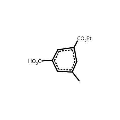 CCOC(=O)c1cc(I)cc(C(=O)O)c1